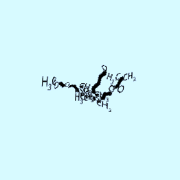 C=C(C)C(=O)OCCC[Si](C)(C)O[Si](C)(CCCCC=O)O[Si](C)(C)CCCOCCOC